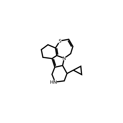 C1=CSC2=C3C(=C4CNCC(C5CC5)C4N3C1)CCC2